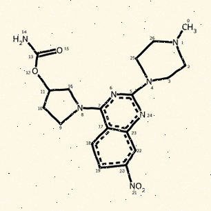 CN1CCN(c2nc(N3CCC(OC(N)=O)C3)c3ccc([N+](=O)[O-])cc3n2)CC1